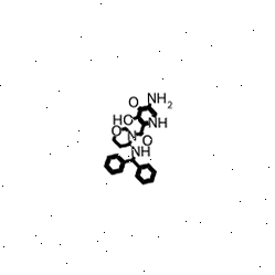 Nc1c[nH]c(C(=O)N2COCC[C@H]2NC(c2ccccc2)c2ccccc2)c(O)c1=O